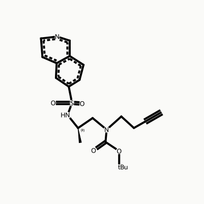 C#CCCN(C[C@@H](C)NS(=O)(=O)c1ccc2cnccc2c1)C(=O)OC(C)(C)C